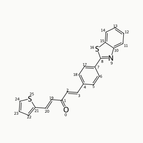 O=C(C=Cc1ccc(-c2nc3ccccc3s2)cc1)C=Cc1cccs1